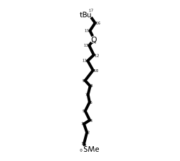 CSCCCCCCCCCCCCCOCCC(C)(C)C